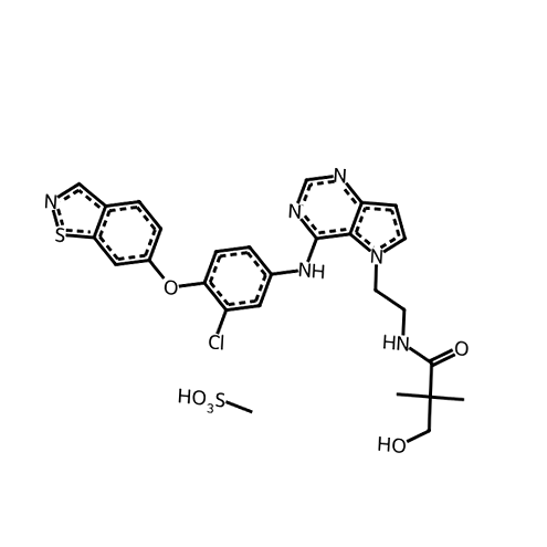 CC(C)(CO)C(=O)NCCn1ccc2ncnc(Nc3ccc(Oc4ccc5cnsc5c4)c(Cl)c3)c21.CS(=O)(=O)O